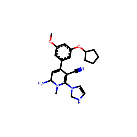 COc1cc(OC2CCCC2)cc(C2=CC(N)N(C)C(N3C=CNC3)=C2C#N)c1